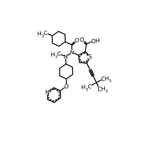 CC1CCC(C(=O)N(c2cc(C#CC(C)(C)C)sc2C(=O)O)N(C)C2CCC(Oc3cccnc3)CC2)CC1